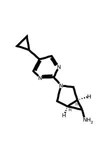 NC1[C@H]2CN(c3ncc(C4CC4)cn3)C[C@@H]12